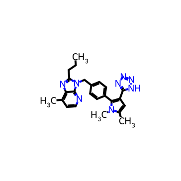 CCCc1nc2c(C)ccnc2n1Cc1ccc(-c2c(-c3nnn[nH]3)cc(C)n2C)cc1